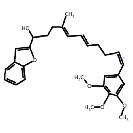 COc1cc(/C=C\CCC=CC=C(C)CCC(O)c2cc3ccccc3o2)cc(OC)c1OC